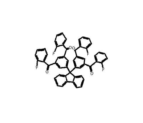 O=C(c1cc(C(=O)c2ccccc2F)cc(C2(c3cc(C(=O)c4ccccc4F)cc(C(=O)c4ccccc4F)c3)c3ccccc3-c3ccccc32)c1)c1ccccc1F